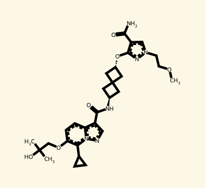 COCCn1cc(C(N)=O)c(O[C@H]2CC3(C[C@H](NC(=O)c4cnn5c(C6CC6)c(OCC(C)(C)O)ccc45)C3)C2)n1